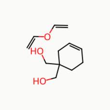 C=COC=C.OCC1(CO)CC=CCC1